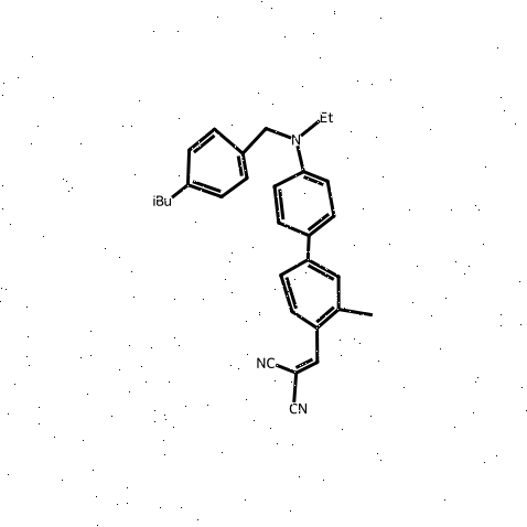 CCC(C)c1ccc(CN(CC)c2ccc(-c3ccc(C=C(C#N)C#N)c(C)c3)cc2)cc1